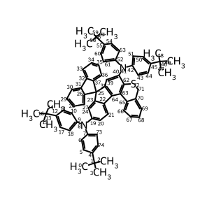 CC(C)(C)c1ccc(N(c2ccc(C(C)(C)C)cc2)c2ccc3c(c2)C2(c4ccccc4-c4ccccc42)c2cc(N(c4ccc(C(C)(C)C)cc4)c4ccc(C(C)(C)C)cc4)c4c(c2-3)-c2ccccc2CS4)cc1